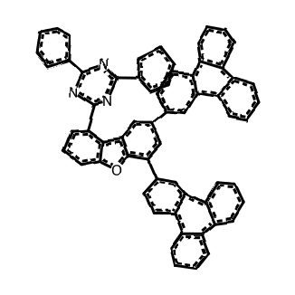 c1ccc(-c2nc(-c3ccccc3)nc(-c3cccc4oc5c(-c6ccc7c8ccccc8c8ccccc8c7c6)cc(-c6ccc7c8ccccc8c8ccccc8c7c6)cc5c34)n2)cc1